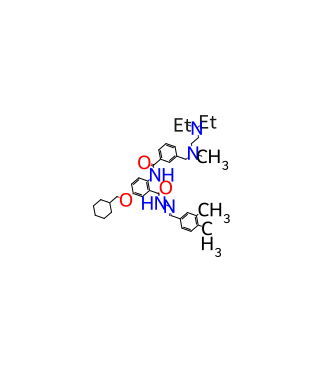 CCN(CC)CCN(C)Cc1cccc(C(=O)Nc2ccc(OCC3CCCCC3)cc2C(=O)NN=Cc2ccc(C)c(C)c2)c1